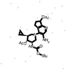 CC(=O)OC1CCc2c1ncc(N)c2N1C[C@H](C2CC2)[C@@H](OC(C)=O)[C@H](NC(=O)OC(C)(C)C)C1